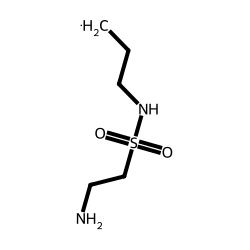 [CH2]CCNS(=O)(=O)CCN